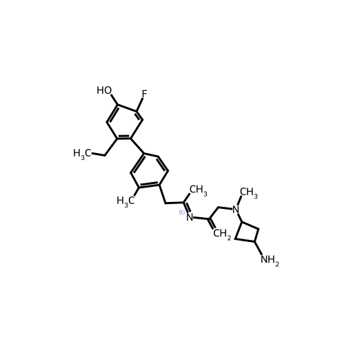 C=C(CN(C)C1CC(N)C1)/N=C(\C)Cc1ccc(-c2cc(F)c(O)cc2CC)cc1C